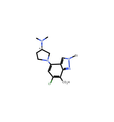 CCn1cc2c(N3CC[C@@H](N(C)C)C3)cc(Cl)c(C(=O)O)c2n1